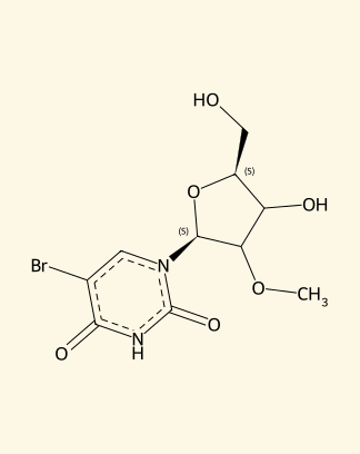 COC1C(O)[C@H](CO)O[C@@H]1n1cc(Br)c(=O)[nH]c1=O